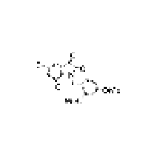 COc1ccc(CN2C(=O)C(=O)c3cc(Cl)cc(Cl)c32)c(OC)c1